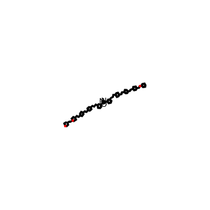 C1=CCC(/C=C/c2ccc(/C=C/c3ccc(/C=C/c4ccc(CCCC5=CC=CC(c6nnc(-c7cccc(CCCc8ccc(/C=C/c9ccc(/C=C/c%10ccc(/C=C/c%11ccccc%11)cc%10)cc9)cc8)c7)o6)C5)cc4)cc3)cc2)C=C1